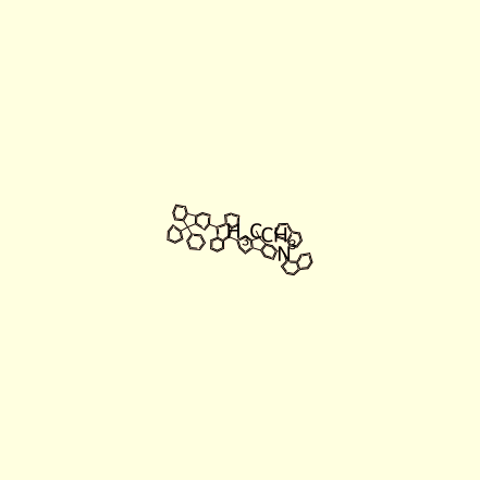 CC1(C)c2cc(-c3c4ccccc4c(-c4ccc5c(c4)C(c4ccccc4)(c4ccccc4)c4ccccc4-5)c4ccccc34)ccc2-c2ccc(N(c3cccc4ccccc34)c3cccc4ccccc34)cc21